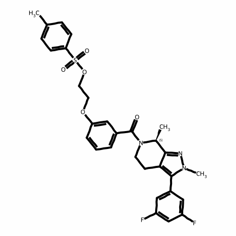 Cc1ccc(S(=O)(=O)OCCOc2cccc(C(=O)N3CCc4c(nn(C)c4-c4cc(F)cc(F)c4)[C@@H]3C)c2)cc1